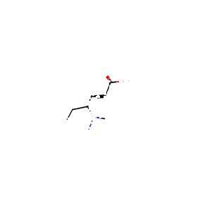 CCC(C=CC(=O)O)N(C)C